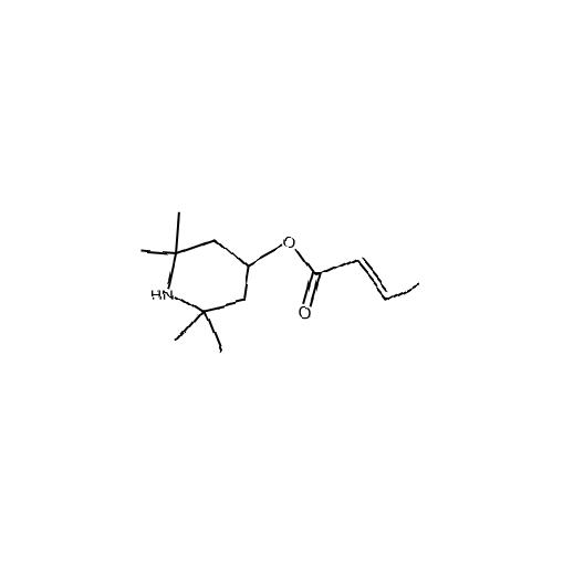 CC=CC(=O)OC1CC(C)(C)NC(C)(C)C1